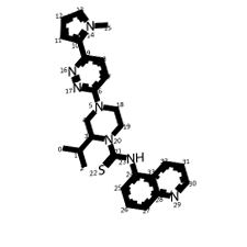 CC(C)C1CN(c2ccc(-c3cccn3C)nn2)CCN1C(=S)Nc1cccc2ncccc12